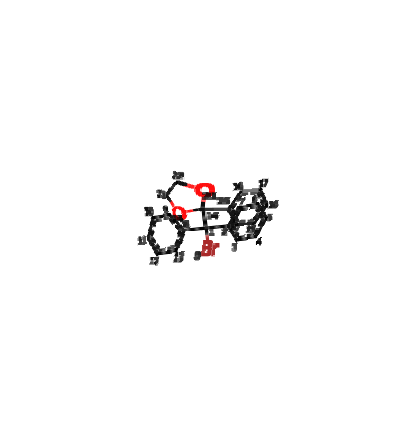 BrC(c1ccccc1)(c1ccccc1)C1(c2ccccc2)OCCO1